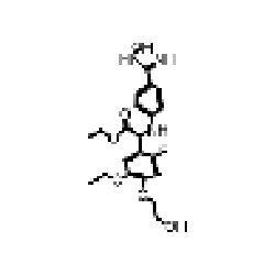 CCOC(=O)C(Nc1ccc(C(=N)NO)cc1)c1cc(OCC)c(OCCO)cc1F